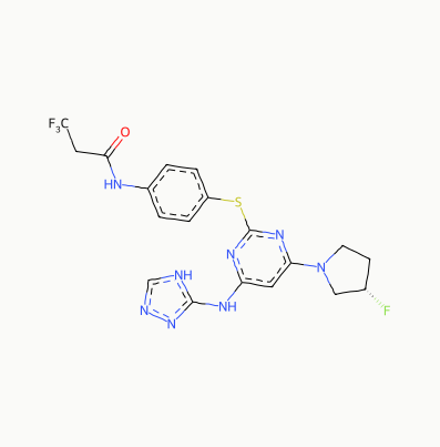 O=C(CC(F)(F)F)Nc1ccc(Sc2nc(Nc3nnc[nH]3)cc(N3CC[C@H](F)C3)n2)cc1